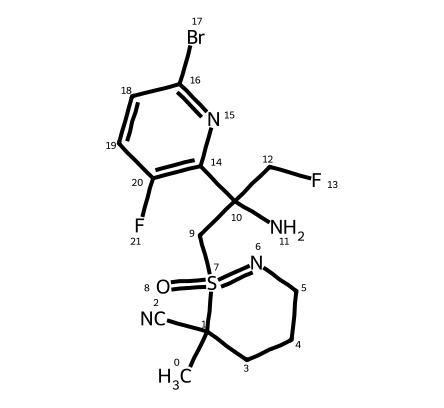 CC1(C#N)CCCN=S1(=O)CC(N)(CF)c1nc(Br)ccc1F